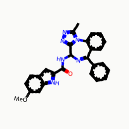 COc1ccc2cc(C(=O)NC3N=C(c4ccccc4)c4ccccc4-n4c(C)nnc43)[nH]c2c1